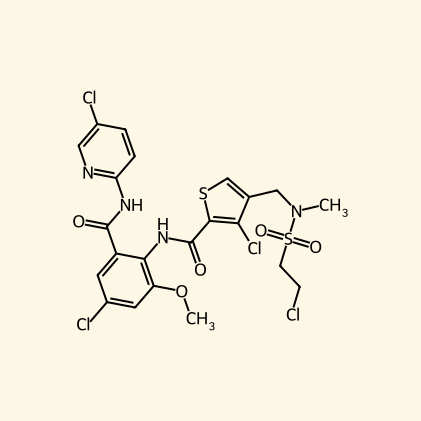 COc1cc(Cl)cc(C(=O)Nc2ccc(Cl)cn2)c1NC(=O)c1scc(CN(C)S(=O)(=O)CCCl)c1Cl